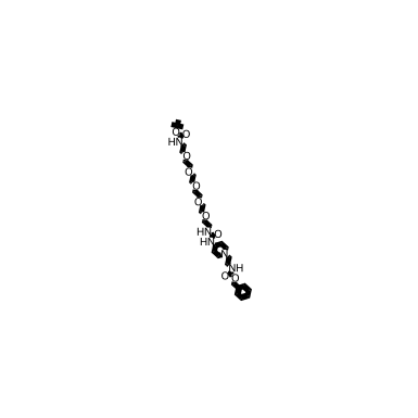 CC(C)(C)OC(=O)NCCOCCOCCOCCOCCOCCNC(=O)NC1CCN(CCNC(=O)OCc2ccccc2)CC1